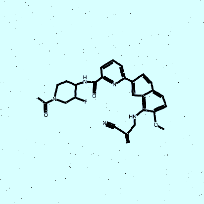 C=C(C#N)CNc1c(OC)ccc2ccc(-c3cccc(C(=O)NC4CCN(C(C)=O)CC4F)n3)cc12